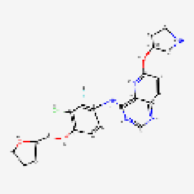 Fc1c(Nc2ncnc3ccc(O[C@H]4CCNC4)nc23)ccc(OCC2CCCO2)c1Cl